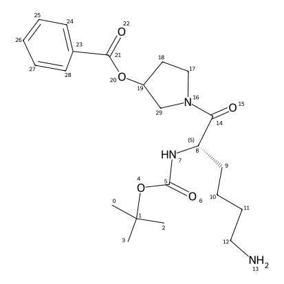 CC(C)(C)OC(=O)N[C@@H](CCCCN)C(=O)N1CCC(OC(=O)c2ccccc2)C1